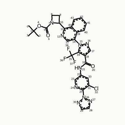 CC(C)(C)OC(=O)N1CCC1c1ncc(-n2ncc(C(=O)Nc3cnc(-n4nccn4)c(Cl)c3)c2C(F)(F)F)c2ccccc12